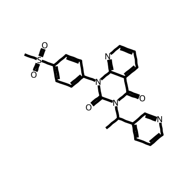 CC(c1cccnc1)n1c(=O)c2cccnc2n(-c2ccc(S(C)(=O)=O)cc2)c1=O